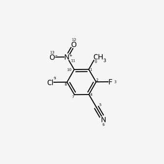 Cc1c(F)c(C#N)cc(Cl)c1[N+](=O)[O-]